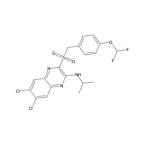 CC(C)Nc1nc2cc(Cl)c(Cl)cc2nc1S(=O)(=O)Cc1ccc(OC(F)F)cc1